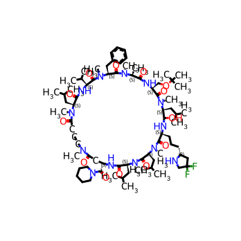 CC(C)C[C@H]1C(=O)N[C@@H](C(C)C)C(=O)N(C)[C@@H](Cc2ccccc2)C(=O)N(C)[C@@H](C)C(=O)N[C@@H](COC(C)(C)C)C(=O)N(C)[C@@H](CC(C)C)C(O)N[C@@H](CCC[C@@H]2CC(F)(F)CN2)C(=O)N(C)[C@@H](CC(C)C)C(=O)N(C)[C@@H](CC(C)C)C(=O)N[C@H](C(=O)N2CCCCC2)CC(=O)N(C)CCCC(=O)N1C